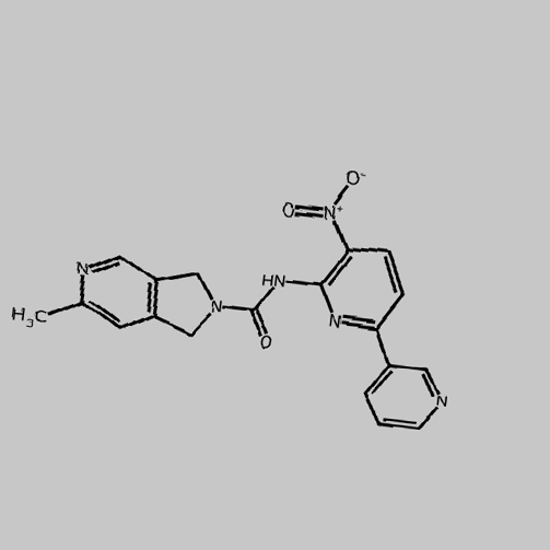 Cc1cc2c(cn1)CN(C(=O)Nc1nc(-c3cccnc3)ccc1[N+](=O)[O-])C2